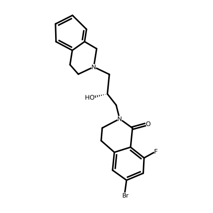 O=C1c2c(F)cc(Br)cc2CCN1C[C@H](O)CN1CCc2ccccc2C1